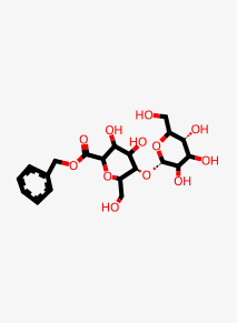 O=C(OCc1ccccc1)C1OC(CO)[C@@H](O[C@@H]2OC(CO)[C@H](O)C(O)C2O)C(O)C1O